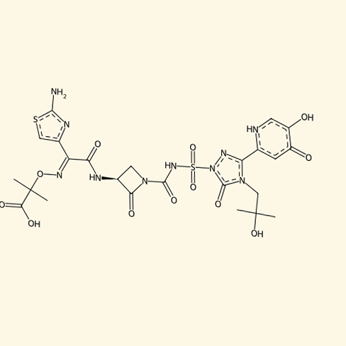 CC(C)(O)Cn1c(-c2cc(=O)c(O)c[nH]2)nn(S(=O)(=O)NC(=O)N2C[C@H](NC(=O)C(=NOC(C)(C)C(=O)O)c3csc(N)n3)C2=O)c1=O